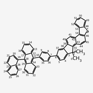 CC1(C)c2ccc(-c3ccc(-c4c5ccccc5c(-c5cccc6ccccc56)c5ccccc45)cc3)cc2-c2ccc3c(ccc4sc5ccccc5c43)c21